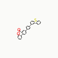 O=c1oc2ccccc2c2ccc(-c3ccc(-c4ccc5sc6ccccc6c5c4)cc3)cc12